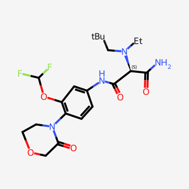 CCN(CC(C)(C)C)[C@@H](C(N)=O)C(=O)Nc1ccc(N2CCOCC2=O)c(OC(F)F)c1